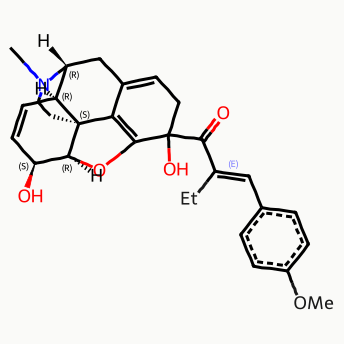 CC/C(=C\c1ccc(OC)cc1)C(=O)C1(O)CC=C2C[C@@H]3[C@@H]4C=C[C@H](O)[C@@H]5OC1=C2[C@]45CCN3C